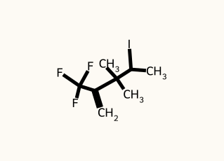 C=C(C(F)(F)F)C(C)(C)C(C)I